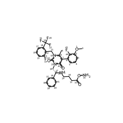 COc1cccc(-c2c(C)n(Cc3c(F)cccc3C(F)(F)F)c(=O)n(C[C@H](NCCCC(=O)ON)c3ccccc3)c2=O)c1F